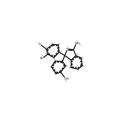 NC1=NC(c2cccc(O)c2)(c2ccc(F)c(Br)c2)c2ccccc21